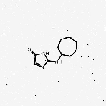 O=C1C=NC(NC2CCCCOC2)N1